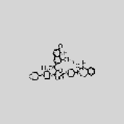 Cc1cc([C@@H](C)C(OC(=O)N2CCC(N3CCc4ccccc4NC3=O)CC2)C(=O)N2CCN(C3CCOCC3)CC2)cc2ccc(=O)[nH]c12